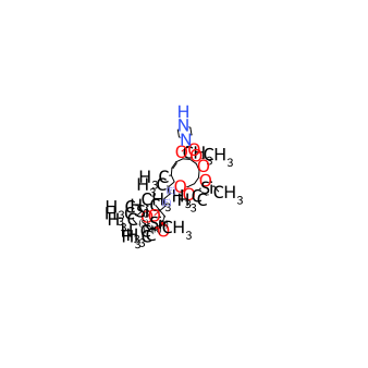 CC[C@H](O[Si](CC)(CC)CC)[C@@H](C)[C@H]1O[C@@H]1CC(C)(/C=C/C=C(\C)C1OC(=O)CC(O[Si](CC)(CC)CC)CCC(C)(OC(C)=O)C(OC(=O)N2CCNCC2)C=CC1C)O[Si](CC)(CC)CC